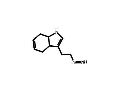 N=NCCC1=CNC2CC=CCC12